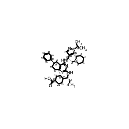 CC[C@@H](Nc1nc2c(c(N[C@@H](CN3CCCCC3)c3cnn(C(C)C)c3)n1)C[C@H](c1ccccc1)CC2)C1CCC(C(=O)O)CC1